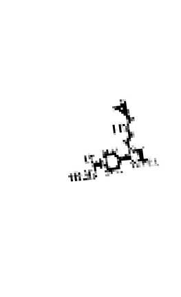 CCc1cn(CCNCC2CC2)c(C2CCN(C(=O)OC(C)(C)C)CC2)n1